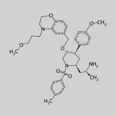 COCCCN1CCOc2ccc(CO[C@H]3CN(S(=O)(=O)c4ccc(C)cc4)[C@H](C[C@H](C)N)C[C@@H]3c3ccc(OC)cc3)cc21